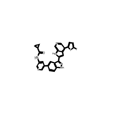 O=C(Nc1cncc(-c2ccc3[nH]nc(-c4cc5c(-c6ccc(F)s6)cncc5[nH]4)c3c2)c1)C1CC1